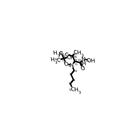 CCCCCN(OC(C)(C)C)C(C(=O)NO)C(C)C